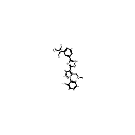 COCc1c(-c2nc(-c3cccc(S(N)(=O)=O)c3)no2)nnn1-c1ccccc1F